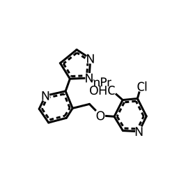 CCCn1nccc1-c1ncccc1COc1cncc(Cl)c1C=O